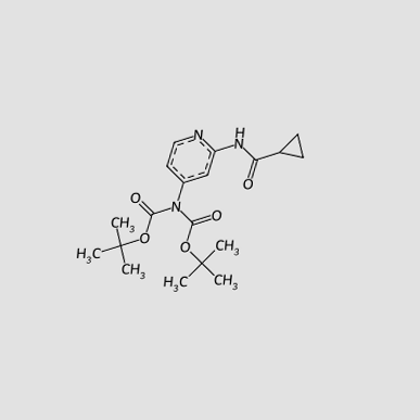 CC(C)(C)OC(=O)N(C(=O)OC(C)(C)C)c1ccnc(NC(=O)C2CC2)c1